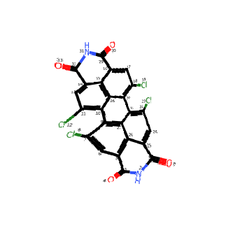 O=C1NC(=O)c2cc(Cl)c3c4c(Cl)cc5c6c(cc(Cl)c(c7c(Cl)cc1c2c73)c64)C(=O)NC5=O